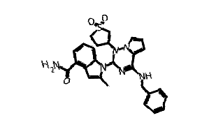 Cc1cc2c(C(N)=O)cccc2n1C1N=C(NCc2ccccc2)c2cccn2N1C1CCS(=O)(=O)C1